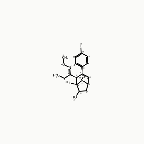 CCC(=NOC)[C@H]1[C@@H](c2ccc(I)cc2)CC2CC(O)[C@H]1N2C